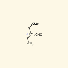 C/C=C(\C=O)CSC